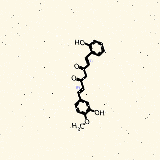 COc1ccc(/C=C/C(=O)CC(=O)/C=C/c2ccccc2O)cc1O